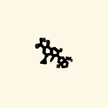 N[C@@]12CCC[C@@H]1CN(c1c(F)cc3c(=O)c(C(=O)O)cn(C4CC4)c3c1F)C2